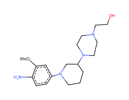 COc1cc(N2CCCC(N3CCN(CCO)CC3)C2)ccc1N